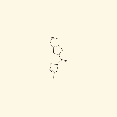 O=C(c1cc(F)co1)N1CC2CNCC2C1